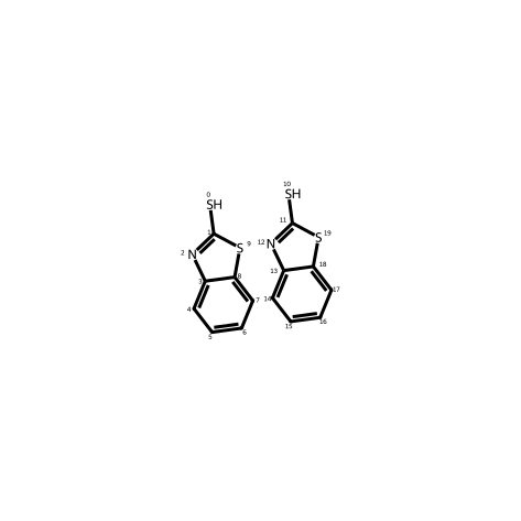 Sc1nc2ccccc2s1.Sc1nc2ccccc2s1